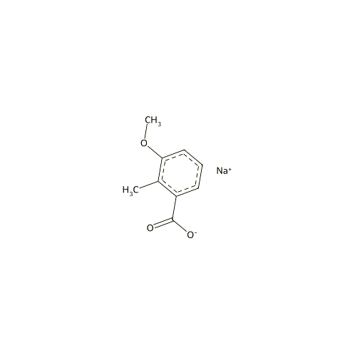 COc1cccc(C(=O)[O-])c1C.[Na+]